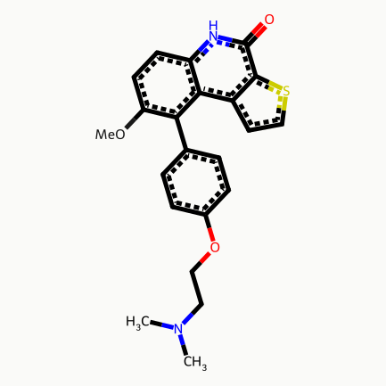 COc1ccc2[nH]c(=O)c3sccc3c2c1-c1ccc(OCCN(C)C)cc1